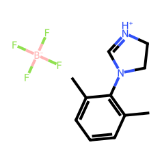 Cc1cccc(C)c1N1C=[NH+]CC1.F[B-](F)(F)F